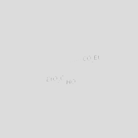 CCOC(=O)CC(=O)OCC.CO